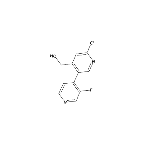 OCc1cc(Cl)ncc1-c1ccncc1F